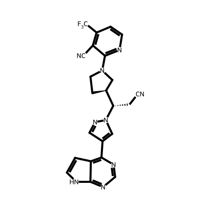 N#CC[C@@H]([C@H]1CCN(c2nccc(C(F)(F)F)c2C#N)C1)n1cc(-c2ncnc3[nH]ccc23)cn1